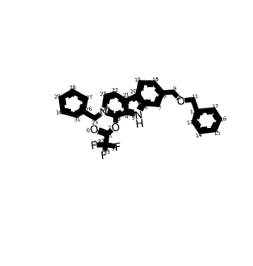 O=C(Oc1c2[nH]c3cc(COCc4ccccc4)ccc3c2cc[n+]1Cc1ccccc1)C(F)(F)F